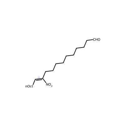 CCCCCCCC/C=C(/CCCCCCCCCC=O)[N+](=O)[O-]